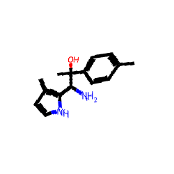 Cc1ccc(C(C)(O)C(N)c2[nH]ccc2C)cc1